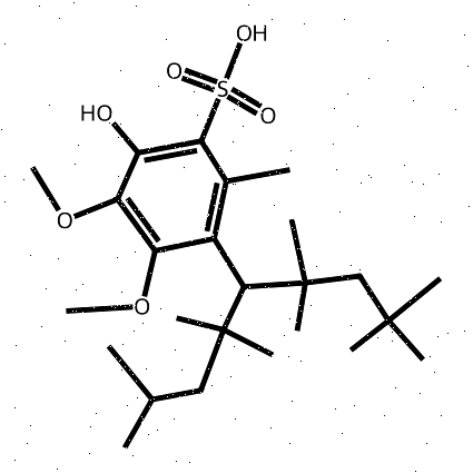 COc1c(O)c(S(=O)(=O)O)c(C)c(C(C(C)(C)CC(C)C)C(C)(C)CC(C)(C)C)c1OC